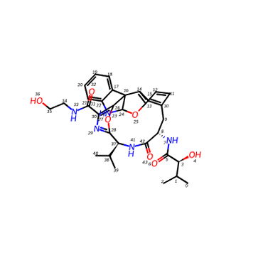 CC(C)[C@H](O)C(=O)N[C@H]1Cc2ccc3c(c2)C2(c4ccccc4NC2O3)c2oc(nc2C(=O)NCCO)[C@H](C(C)C)NC1=O